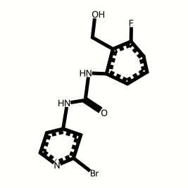 O=C(Nc1ccnc(Br)c1)Nc1cccc(F)c1CO